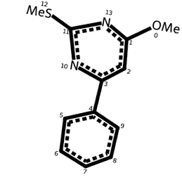 COc1cc(-c2ccccc2)nc(SC)n1